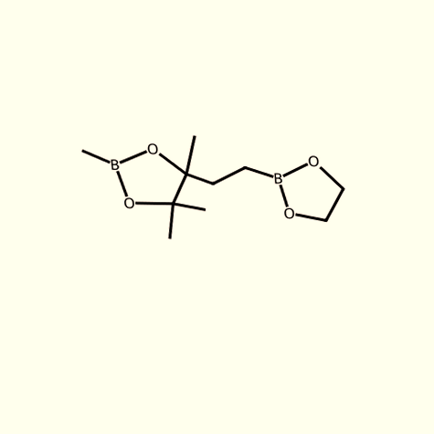 CB1OC(C)(C)C(C)(CCB2OCCO2)O1